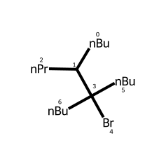 CCCCC(CCC)C(Br)(CCCC)CCCC